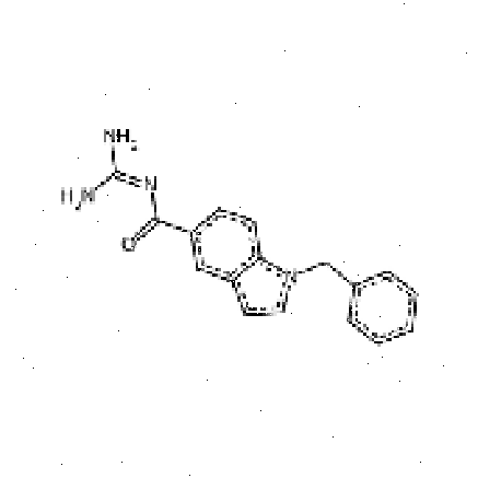 NC(N)=NC(=O)c1ccc2c(ccn2Cc2ccccc2)c1